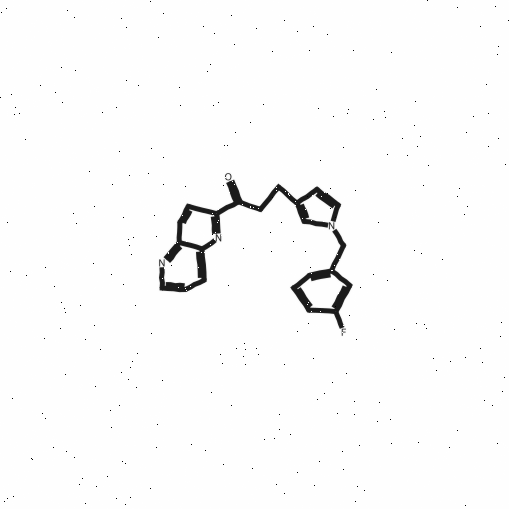 O=C(CCc1ccn(Cc2cccc(F)c2)c1)c1ccc2ncccc2n1